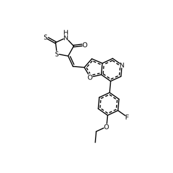 CCOc1ccc(-c2cncc3cc(C=C4SC(=S)NC4=O)oc23)cc1F